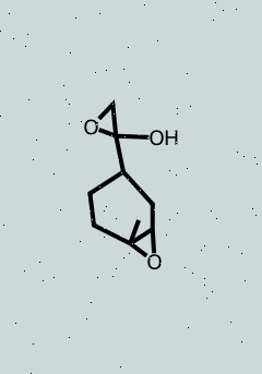 CC12CCC(C3(O)CO3)CC1O2